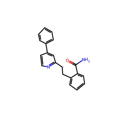 NC(=O)c1ccccc1C[CH]c1cc(-c2ccccc2)ccn1